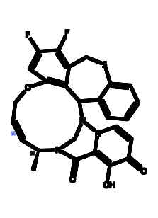 C[C@H]1/C=C\COc2cc(F)c(F)c3c2C(c2ccccc2SC3)N2CN1C(=O)c1c(O)c(=O)ccn12